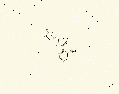 O=C(O)c1ccccc1C(=O)OC[C@@H]1CCOC1